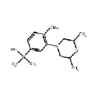 CCC[Si](C)(C)c1ccc(OC)c(N2CC(C)OC(C)C2)c1